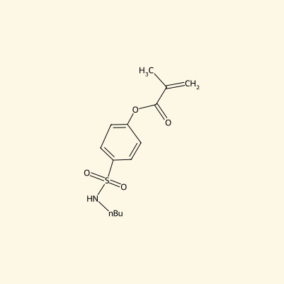 C=C(C)C(=O)Oc1ccc(S(=O)(=O)NCCCC)cc1